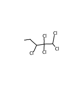 CCC(Cl)C(Cl)(Cl)C(Cl)Cl